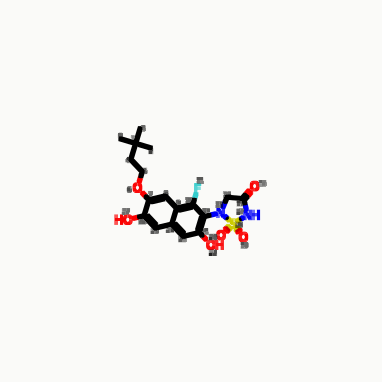 CC(C)(C)CCOc1cc2c(F)c(N3CC(=O)NS3(=O)=O)c(O)cc2cc1O